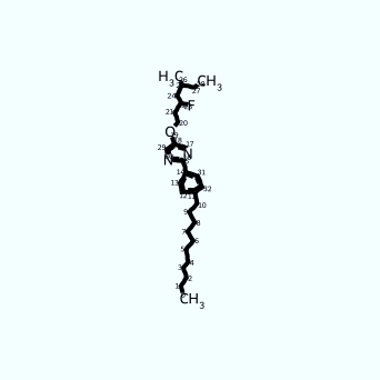 CCCCCCCCCCCc1ccc(-c2ncc(OCCC(F)CC(C)CC)cn2)cc1